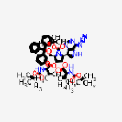 CC(C)C(NC(=O)OC(C)(C)C)C(=O)O[C@H]1[C@@H](OC(=O)[C@@H](NC(=O)OC(C)(C)C)C(C)C)[C@H](c2c[nH]c3c(N=[N+]=[N-])ncnc23)N(C(=O)OC(C)(C)C)[C@@H]1COC(c1ccccc1)(c1ccccc1)c1ccccc1